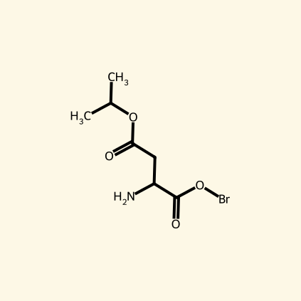 CC(C)OC(=O)CC(N)C(=O)OBr